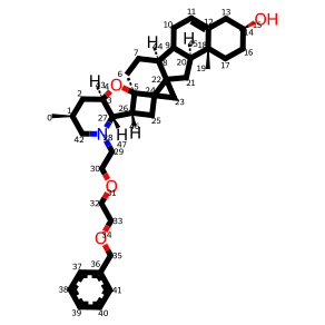 C[C@H]1C[C@H]2O[C@@]34CC[C@H]5C6CC=C7C[C@@H](O)CC[C@]7(C)[C@H]6CC56CC63C[C@@H]4[C@@H]2N(CCOCCOCc2ccccc2)C1